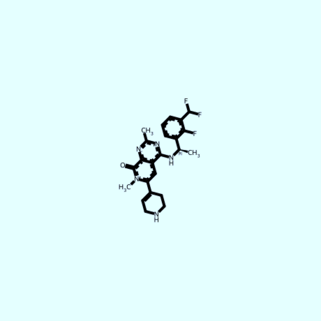 Cc1nc(N[C@H](C)c2cccc(C(F)F)c2F)c2cc(C3=CCNCC3)n(C)c(=O)c2n1